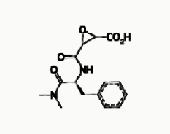 CN(C)C(=O)[C@H](Cc1ccccc1)NC(=O)C1OC1C(=O)O